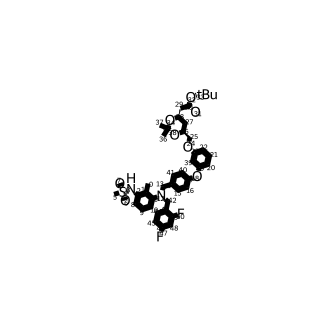 Cc1c(NS(C)(=O)=O)cccc1N(Cc1ccc(Oc2cccc(OC[C@@H]3C[C@@H](CC(=O)OC(C)(C)C)OC(C)(C)O3)c2)cc1)Cc1ccc(F)cc1F